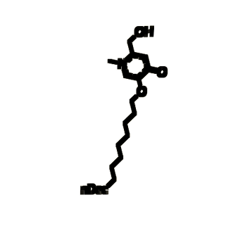 CCCCCCCCCCCCCCCCCCOc1cn(C)c(CO)cc1=O